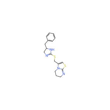 C1=C(CSC2=NCC(Cc3ccccc3)N2)N2CCCN=C2S1